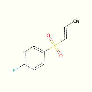 N#C/C=C/S(=O)(=O)c1ccc(F)cc1